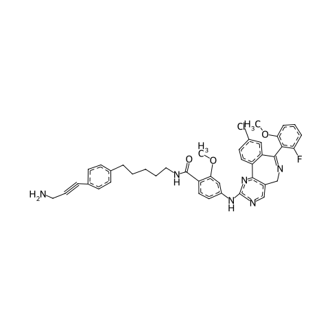 COc1cc(Nc2ncc3c(n2)-c2ccc(Cl)cc2C(c2c(F)cccc2OC)=NC3)ccc1C(=O)NCCCCCc1ccc(C#CCN)cc1